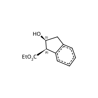 CCOC(=O)[C@@H]1c2ccccc2C[C@@H]1O